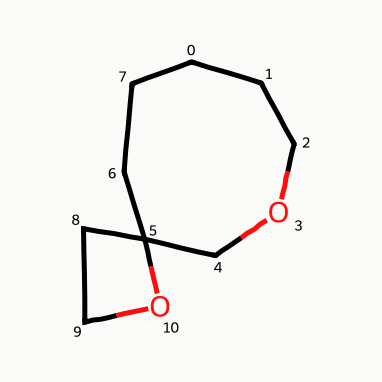 C1CCOCC2(CC1)CCO2